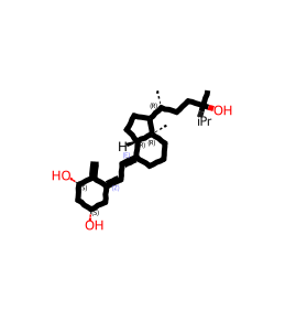 C=C1/C(=C\C=C2/CCC[C@]3(C)C([C@H](C)CCC(C)(O)C(C)C)CC[C@@H]23)C[C@H](O)C[C@@H]1O